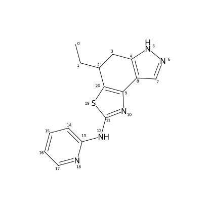 CCC1Cc2[nH]ncc2-c2nc(Nc3ccccn3)sc21